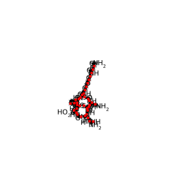 N=C(N)NCCC[C@@H]1NC(=O)[C@@H]2CSSC[C@H](NC(=O)[C@H](CC(=O)O)NC(=O)CNC1=O)C(=O)N[C@@H](Cc1ccccc1)C(=O)NC(C(=O)NCCOCCOCCOCCNC(=O)COCC(N)=O)SCC(=O)N[C@@H](CCCCN)C(=O)N2